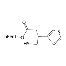 CCCCCOC(=O)CC(CS)c1ccsc1